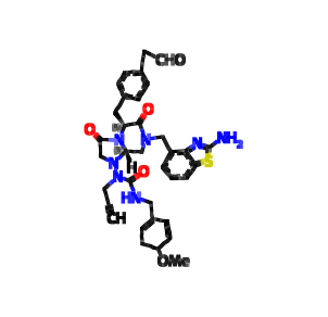 C#CCN(C(=O)NCC1=CCC(OC)C=C1)N1CC(=O)N2[C@@H](Cc3ccc(CC=O)cc3)C(=O)N(Cc3cccc4sc(N)nc34)C[C@@H]21